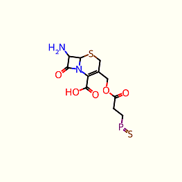 NC1C(=O)N2C(C(=O)O)=C(COC(=O)CCP=S)CSC12